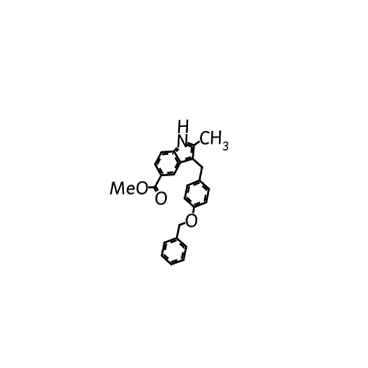 COC(=O)c1ccc2[nH]c(C)c(Cc3ccc(OCc4ccccc4)cc3)c2c1